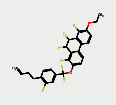 C=CCCc1ccc(C(F)(F)Oc2ccc3c(c2F)C(F)C(F)c2c-3ccc(OCC)c2F)cc1F